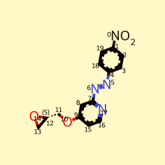 O=[N+]([O-])c1ccc(N=Nc2cc(OC[C@@H]3CO3)ccn2)cc1